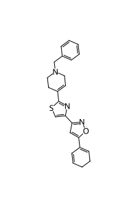 C1=CC(c2cc(-c3csc(C4=CCN(Cc5ccccc5)CC4)n3)no2)=CCC1